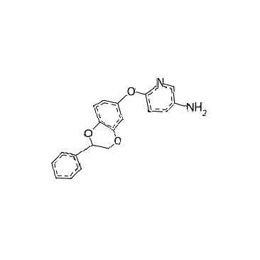 Nc1ccc(Oc2ccc3c(c2)OCC(c2ccccc2)O3)nc1